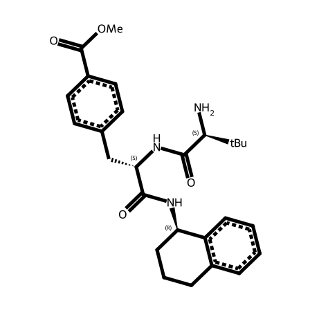 COC(=O)c1ccc(C[C@H](NC(=O)[C@@H](N)C(C)(C)C)C(=O)N[C@@H]2CCCc3ccccc32)cc1